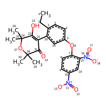 CCc1ccc(Oc2ccc([N+](=O)[O-])cc2[N+](=O)[O-])cc1C1=C(O)C(C)(C)OC(C)(C)C1=O